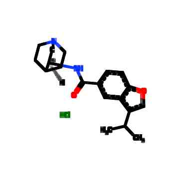 CC(C)c1coc2ccc(C(=O)N[C@@H]3CN4CCC3CC4)cc12.Cl